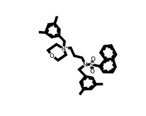 Cc1cc(C)cc(CN(CCC[N+]2(Cc3cc(C)cc(C)c3)CCOCC2)S(=O)(=O)c2cccc3ccccc23)c1